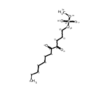 CCCCCCCC(=O)C(=O)CCCOS(=O)(=O)OC